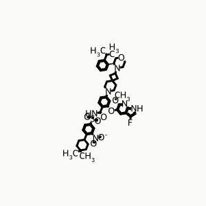 COc1nc2[nH]cc(F)c2cc1Oc1cc(N2CCC3(CC2)CC(N2CCOC[C@@H]2c2ccccc2C(C)C)C3)ccc1C(=O)NS(=O)(=O)c1ccc(C2CCC(C)(C)CC2)c([N+](=O)[O-])c1